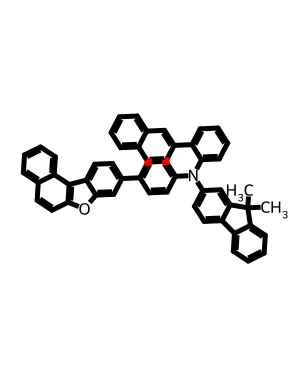 CC1(C)c2ccccc2-c2ccc(N(c3ccc(-c4ccc5c(c4)oc4ccc6ccccc6c45)cc3)c3ccccc3-c3ccc4ccccc4c3)cc21